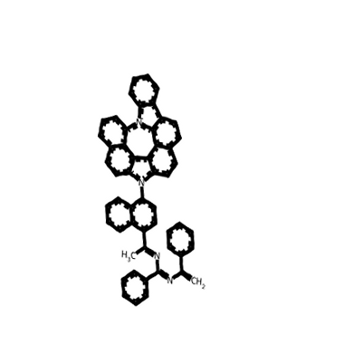 C=C(/N=C(\N=C(/C)c1ccc(-n2c3ccc4cccc5c4c3c3c4c(ccc6c7ccccc7n5c64)ccc32)c2ccccc12)c1ccccc1)c1ccccc1